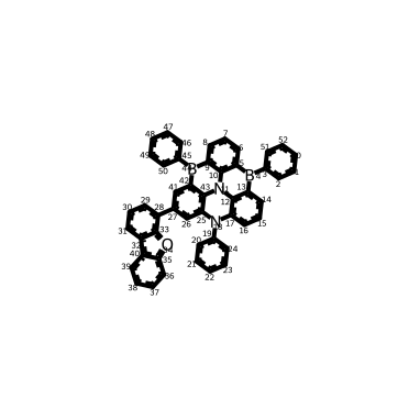 c1ccc(B2c3cccc4c3N3c5c2cccc5N(c2ccccc2)c2cc(-c5cccc6c5oc5ccccc56)cc(c23)B4c2ccccc2)cc1